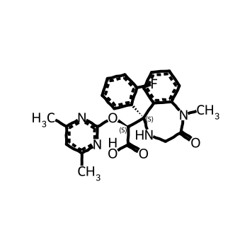 Cc1cc(C)nc(O[C@H](C(=O)O)[C@]2(c3ccccc3F)NCC(=O)N(C)c3ccccc32)n1